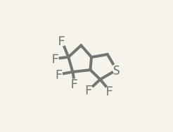 FC1(F)SCC2CC(F)(F)C(F)(F)C21